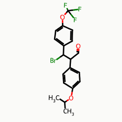 CC(C)Oc1ccc(C(C=O)C(Br)c2ccc(OC(F)(F)F)cc2)cc1